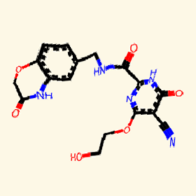 N#Cc1c(OCCO)nc(C(=O)NCc2ccc3c(c2)NC(=O)CO3)[nH]c1=O